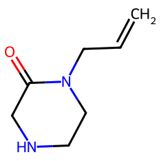 C=CCN1CCNCC1=O